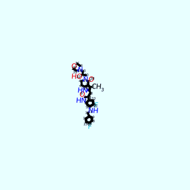 Cc1c(C=C2C(=O)Nc3cc(NCc4ccc(F)cc4)c(F)cc32)[nH]c2c1C(=O)N(C[C@@H](O)CN1CCOCC1)CC2